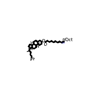 CCCCCCCC/C=C\CCCCCCCC(=O)O[C@@H]1CC[C@@]2(C)C(=CC[C@H]3[C@@H]4CC[C@H]([C@H](C)CCCC(C)C)[C@@]4(C)CC[C@@H]32)C1